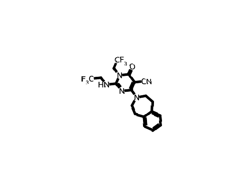 N#Cc1c(N2CCc3ccccc3CC2)nc(NCC(F)(F)F)n(CC(F)(F)F)c1=O